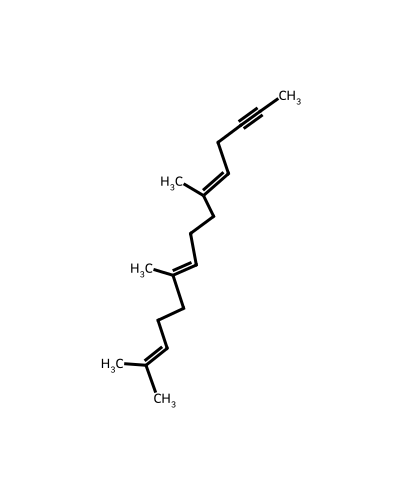 CC#CC/C=C(\C)CC/C=C(\C)CCC=C(C)C